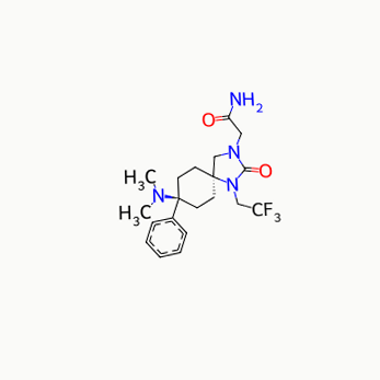 CN(C)[C@]1(c2ccccc2)CC[C@]2(CC1)CN(CC(N)=O)C(=O)N2CC(F)(F)F